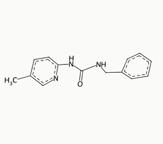 Cc1ccc(NC(=O)NCc2ccccc2)nc1